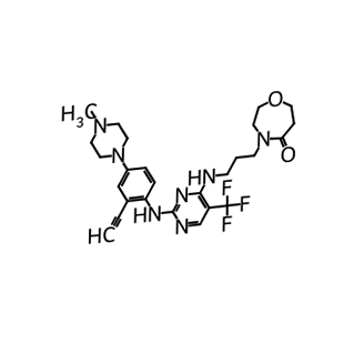 C#Cc1cc(N2CCN(C)CC2)ccc1Nc1ncc(C(F)(F)F)c(NCCCN2CCOCCC2=O)n1